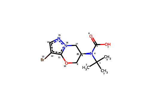 CC(C)(C)N(C(=O)O)[C@H]1COc2c(Br)cnn2C1